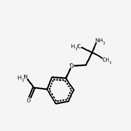 CC(C)(N)COc1cccc(C(N)=O)c1